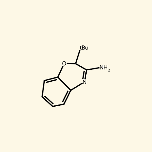 CC(C)(C)C1Oc2ccccc2N=C1N